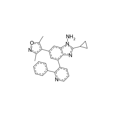 Cc1noc(C)c1-c1cc(-c2cccnc2-c2ccccc2)c2nc(C3CC3)n(N)c2c1